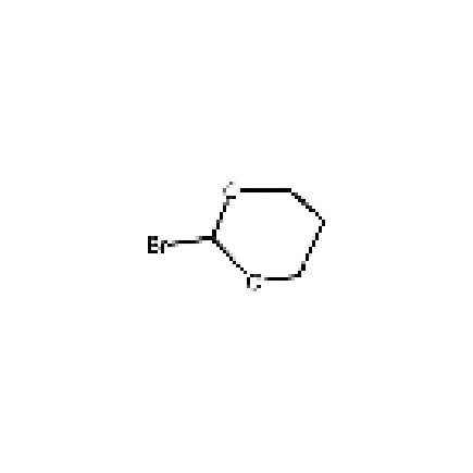 BrC1OCCCO1